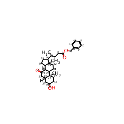 C[C@H](CCC(=O)OCc1ccccc1)C1CCC2C3C(=O)C[C@@H]4C[C@H](O)CC[C@]4(C)C3CC[C@@]21C